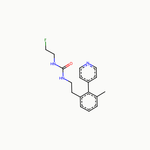 Cc1cccc(CCNC(=O)NCCF)c1-c1ccncc1